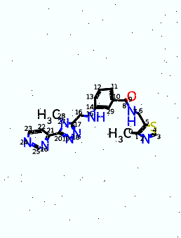 Cc1ncsc1CNC(=O)c1cccc(NCc2nnc(-c3ccncn3)n2C)c1